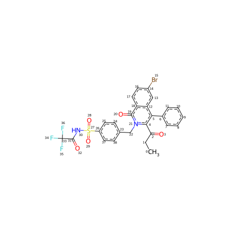 CCC(=O)c1c(-c2ccccc2)c2cc(Br)ccc2c(=O)n1Cc1ccc(S(=O)(=O)NC(=O)C(F)(F)F)cc1